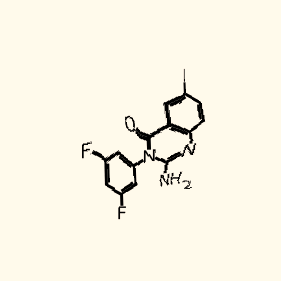 Nc1nc2ccc(I)cc2c(=O)n1-c1cc(F)cc(F)c1